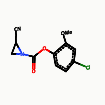 COc1cc(Cl)ccc1OC(=O)N1CC1C#N